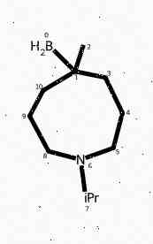 BC1(C)CCCN(C(C)C)CCC1